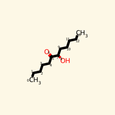 CCCCCC(=O)C(O)CCCCC